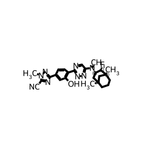 CN(c1cnc(-c2ccc(-c3nc(C#N)n(C)n3)cc2O)nn1)[C@@H]1C[C@@]2(C)CCC[C@](C)(C2)[C@@H]1F